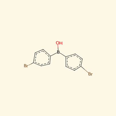 OB(c1ccc(Br)cc1)c1ccc(Br)cc1